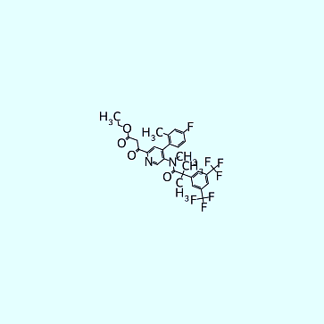 CCOC(=O)CC(=O)c1cc(-c2ccc(F)cc2C)c(N(C)C(=O)C(C)(C)c2cc(C(F)(F)F)cc(C(F)(F)F)c2)cn1